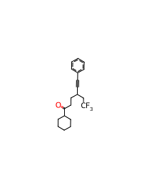 O=C(CCC(C#Cc1ccccc1)CC(F)(F)F)C1CCCCC1